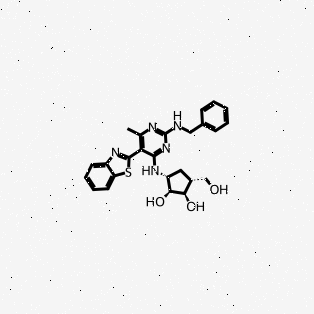 Cc1nc(NCc2ccccc2)nc(N[C@@H]2C[C@H](CO)[C@@H](O)[C@H]2O)c1-c1nc2ccccc2s1